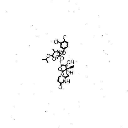 C#C[C@@]1(O)[C@H](O)[C@@H](COP(=S)(NC(C)C(=O)OC(C)C)Oc2ccc(F)c(Cl)c2)O[C@H]1N1C=CC(=O)NC1=C